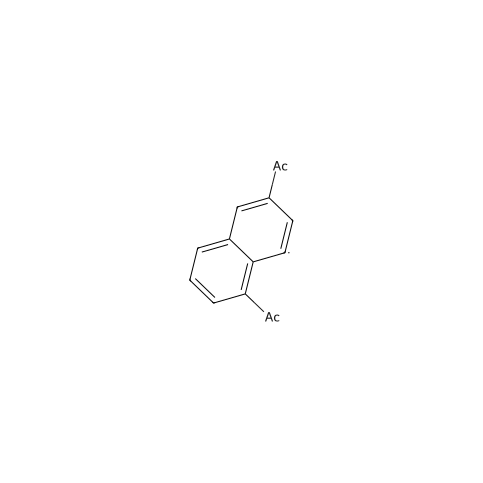 CC(=O)c1c[c]c2c(C(C)=O)cccc2c1